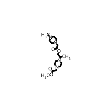 COC(=O)CN1CCN(C(C)COC(=O)CN2CCN(C)CC2)CC1